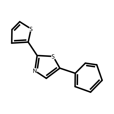 c1ccc(-c2cnc(-c3cccs3)s2)cc1